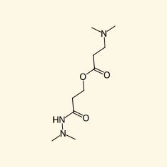 CN(C)CCC(=O)OCCC(=O)NN(C)C